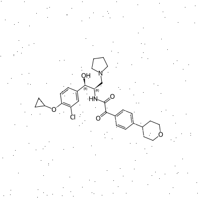 O=C(N[C@H](CN1CCCC1)[C@H](O)c1ccc(OC2CC2)c(Cl)c1)C(=O)c1ccc(C2CCOCC2)cc1